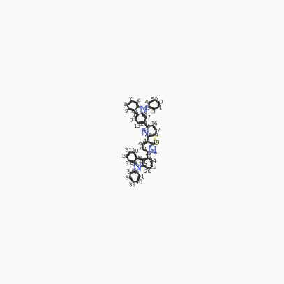 c1ccc(-n2c3ccccc3c3ccc(-c4ccc5sc6nc(-c7cccc8c7c7ccccc7n8-c7ccccc7)ccc6c5n4)cc32)cc1